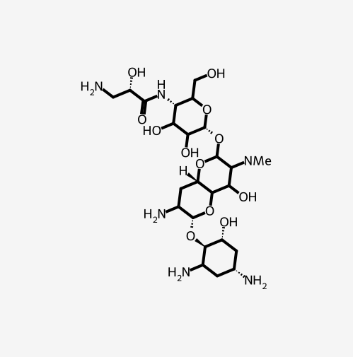 CNC1C(O[C@H]2OC(CO)[C@@H](NC(=O)[C@@H](O)CN)C(O)C2O)O[C@H]2CC(N)[C@@H](O[C@@H]3C(N)C[C@@H](N)C[C@H]3O)OC2C1O